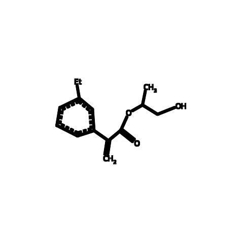 C=C(C(=O)OC(C)CO)c1cccc(CC)c1